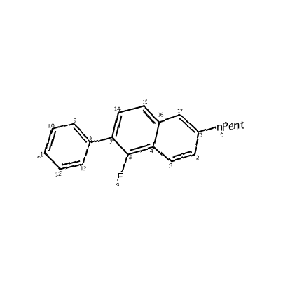 CCCCCc1ccc2c(F)c(-c3ccccc3)ccc2c1